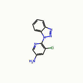 Nc1cnc(-n2nnc3ccccc32)c(Cl)c1